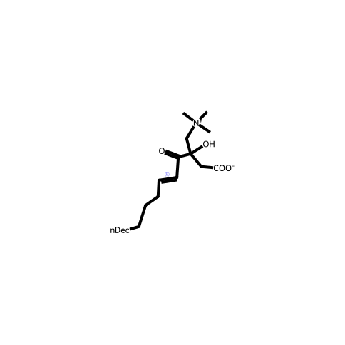 CCCCCCCCCCCCC/C=C/C(=O)C(O)(CC(=O)[O-])C[N+](C)(C)C